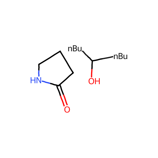 CCCCC(O)CCCC.O=C1CCCN1